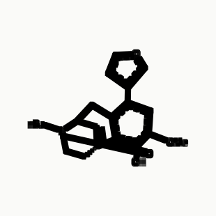 CCCCN1CC[C@@]23CC(=O)CCC2C1Cc1c(-c2ccoc2)cc(OC)c(O)c13